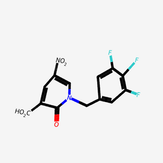 O=C(O)c1cc([N+](=O)[O-])cn(Cc2cc(F)c(F)c(F)c2)c1=O